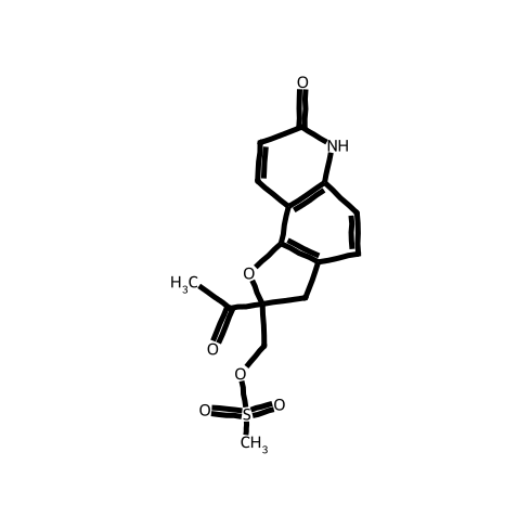 CC(=O)C1(COS(C)(=O)=O)Cc2ccc3[nH]c(=O)ccc3c2O1